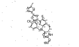 Cc1nnc(-c2nc(-c3cc4c(cc3F)SC[C@H](NC(=O)OC(C)(C)C)C(=O)N4Cc3ccc(Cl)cc3)no2)o1